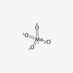 [O]=[Mo](=[O])(=[O])[Cl]